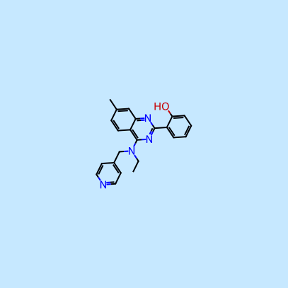 CCN(Cc1ccncc1)c1nc(-c2ccccc2O)nc2cc(C)ccc12